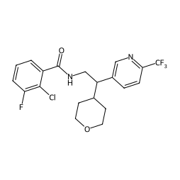 O=C(NCC(c1ccc(C(F)(F)F)nc1)C1CCOCC1)c1cccc(F)c1Cl